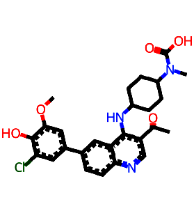 COc1cc(-c2ccc3ncc(C(C)=O)c(NC4CCC(N(C)C(=O)O)CC4)c3c2)cc(Cl)c1O